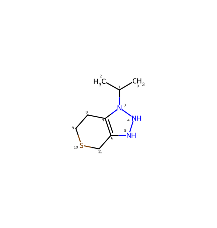 CC(C)N1NNC2=C1CCSC2